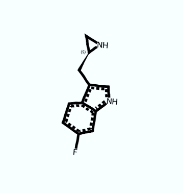 Fc1ccc2c(C[C@H]3CN3)c[nH]c2c1